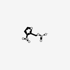 O=[N+]([O-])OCc1occc1[N+](=O)[O-]